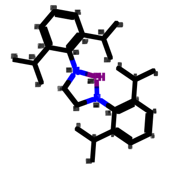 CC(C)c1cccc(C(C)C)c1N1CCN(c2c(C(C)C)cccc2C(C)C)P1